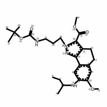 CCC(C)Nc1cc2c(cc1OC)CCc1c-2nn(CCCNC(=O)OC(C)(C)C)c1C(=O)OC